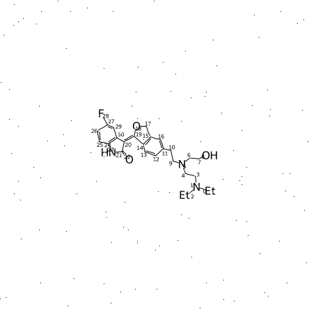 CCN(CC)CCN(CCO)CCc1ccc2c(c1)CO/C2=C1/C(=O)Nc2ccc(F)cc21